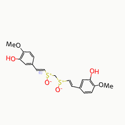 COc1ccc(C=C[S+]([O-])C[S+]([O-])/C=C/c2ccc(OC)c(O)c2)cc1O